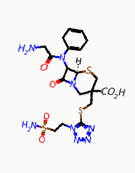 NCC(=O)N(C1=CCC=CC1)C1C(=O)N2CC(CSc3nnnn3CCS(N)(=O)=O)(C(=O)O)CS[C@H]12